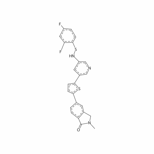 CN1Cc2cc(-c3ccc(-c4cncc(NSc5ccc(F)cc5F)c4)s3)ccc2C1=O